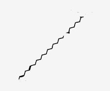 CCCCCC=CCC=CCCCCCCCCCCCOC(=O)CCCCC(OCCCCCCCC)OCCCCCCCC